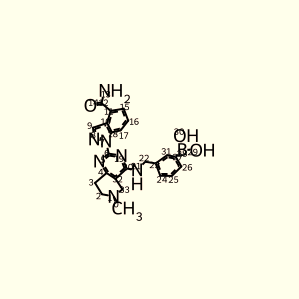 CN1CCc2nc(-n3ncc4c(C(N)=O)cccc43)nc(NCc3cccc(B(O)O)c3)c2C1